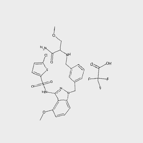 COCC(NCc1cccc(Cn2nc(NS(=O)(=O)c3ccc(Cl)s3)c3c(OC)cccc32)c1)C(N)=O.O=C(O)C(F)(F)F